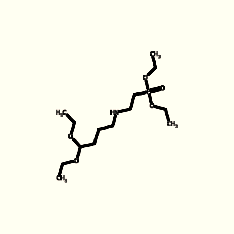 CCOC(CCCNCCP(=O)(OCC)OCC)OCC